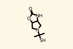 CC(C)(S)N1CC2NC(=O)OC2C1